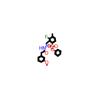 COc1cccc(CC(=O)N/N=C/c2c(S(=O)(=O)Oc3ccccc3)ccc(C)c2F)c1